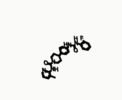 Cc1cccnc1NC(=O)N1CCC(c2ccc(NC(=O)Nc3ccccc3F)cc2)CC1